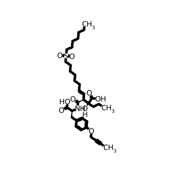 CC#CCOc1ccc(C[C@H](NC(=O)[C@@H](/C=C/CCCCCCS(=O)(=O)CCCCCCC)[C@@](O)(CCC)C(=O)O)C(=O)O)cc1